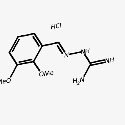 COc1cccc(C=NNC(=N)N)c1OC.Cl